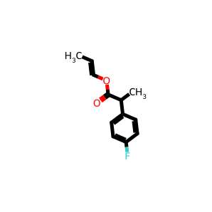 CC=COC(=O)C(C)c1ccc(F)cc1